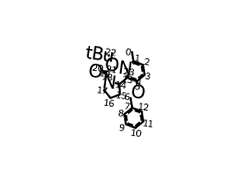 Cc1ccc(OCc2ccccc2)c(C2CCCN2C(=O)OC(C)(C)C)n1